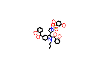 CCCCn1c(C(=O)c2ccccc2OC)c(C2CCN(S(=O)(=O)c3cc(OC)ccc3OC)C2)c2cc(C(=O)c3ccccc3OC)ccc21